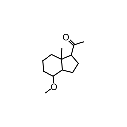 COC1CCCC2(C)C(C(C)=O)CCC12